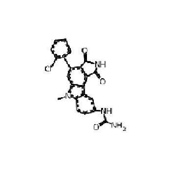 Cn1c2ccc(NC(N)=O)cc2c2c3c(c(-c4ccccc4Cl)cc21)C(=O)NC3=O